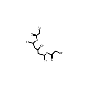 CCC(CC(O)CC(CC)OC(=O)CC(C)=O)OC(=O)CC(C)=O